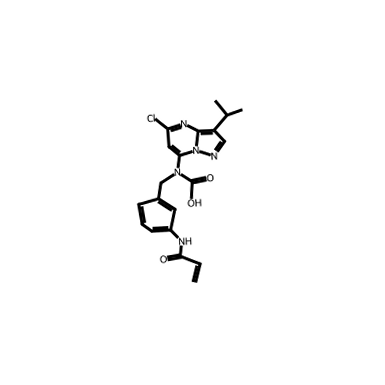 C=CC(=O)Nc1cccc(CN(C(=O)O)c2cc(Cl)nc3c(C(C)C)cnn23)c1